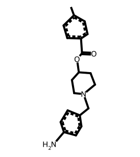 Cc1ccc(C(=O)OC2CCN(Cc3ccc(N)cc3)CC2)cc1